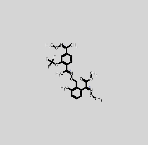 CO/N=C(/C)c1ccc(/C(C)=N/OCc2c(C)cccc2/C(=N\OC)C(=O)OC)c(OC(F)(F)F)c1